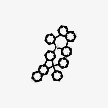 c1ccc(C2(c3ccccc3)c3cc(N4c5ccccc5-c5cccc6cccc(c56)-c5ccccc54)ccc3-c3cc4ccccc4cc32)cc1